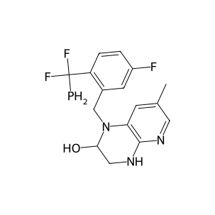 Cc1cnc2c(c1)N(Cc1cc(F)ccc1C(F)(F)P)C(O)CN2